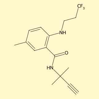 C#CC(C)(C)NC(=O)c1cc(C)ccc1NCCC(F)(F)F